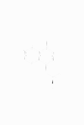 C[C@H](Oc1ccc(Cl)c2ccccc12)C(=O)O